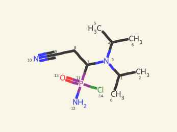 CC(C)N(C(C)C)C(CC#N)P(N)(=O)Cl